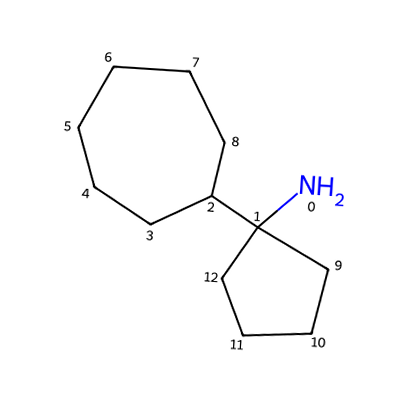 NC1(C2CCCCCC2)CCCC1